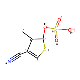 CC1C(C#N)=CSC1OS(=O)(=O)O